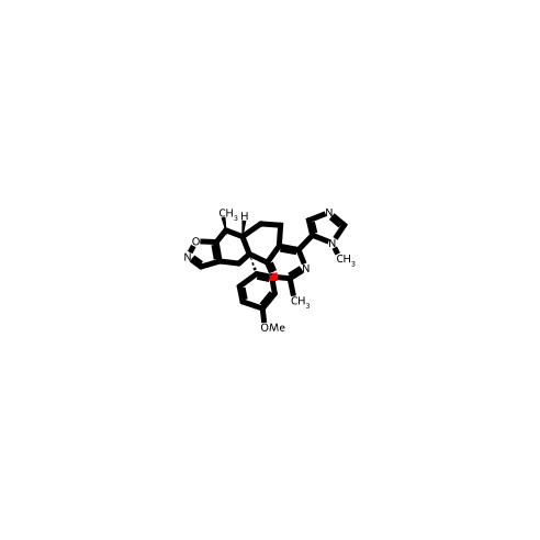 COc1ccc([C@]23Cc4cnoc4[C@@H](C)[C@@H]2CCc2c(-c4cncn4C)nc(C)nc23)cc1